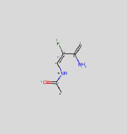 C=C(N)/C(F)=C\NC(C)=O